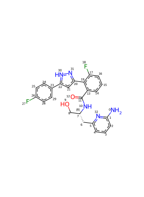 Nc1cccc(C[C@H](CO)NC(=O)c2cccc(F)c2-c2cc(-c3ccc(F)cc3)[nH]n2)n1